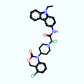 CCn1c2ccccc2c2cc(NC(=O)CN3CCC(N4C(=O)OCc5c(Cl)cccc54)CC3)ccc21.Cl